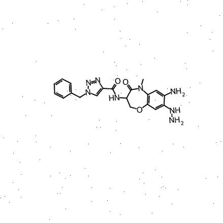 CN1C(=O)C(NC(=O)c2cn(Cc3ccccc3)nn2)COc2cc(NN)c(N)cc21